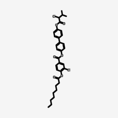 CCCCCCCCC(=O)Oc1ccc(C(=O)Oc2ccc(-c3ccc(OC(=O)C(Cl)C(C)C)cc3)cc2)cc1Cl